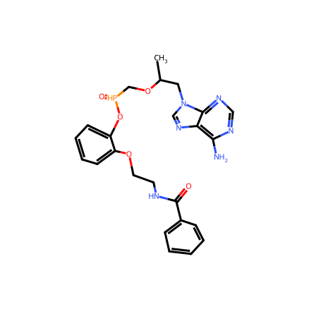 CC(Cn1cnc2c(N)ncnc21)OC[PH](=O)Oc1ccccc1OCCNC(=O)c1ccccc1